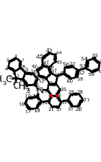 CC1(C)c2ccccc2-c2ccc(N(c3ccccc3-c3ccc(-c4ccccc4)cc3)c3cccc4c3-c3ccc5ccccc5c3C4c3ccc(-c4ccccc4)cc3)cc21